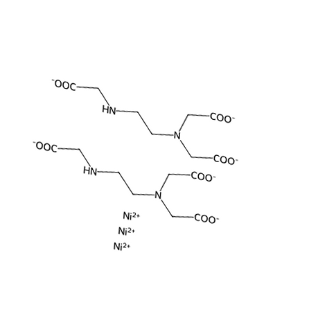 O=C([O-])CNCCN(CC(=O)[O-])CC(=O)[O-].O=C([O-])CNCCN(CC(=O)[O-])CC(=O)[O-].[Ni+2].[Ni+2].[Ni+2]